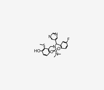 CSc1c(O)cccc1CN(C(c1cncnc1)c1cccc(F)c1)S(=O)(=O)N(C)C